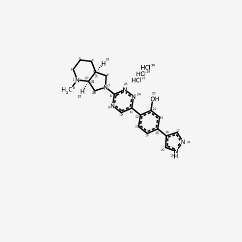 CN1CCC[C@H]2CN(c3ncc(-c4ccc(-c5cn[nH]c5)cc4O)nn3)C[C@H]21.Cl.Cl.Cl